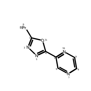 CCCc1nnc(-c2cnccn2)o1